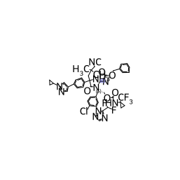 CC(C)(CC#N)CC1(c2ccc(-c3cnn(C4CC4)c3)cc2)N/C(=N\C(=O)OCc2ccccc2)N([C@H](COC(=O)NC2(C(F)(F)F)CC2)c2ccc(Cl)c(-n3ncnc3C(F)F)c2)C1=O